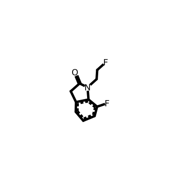 O=C1Cc2cccc(F)c2N1CCF